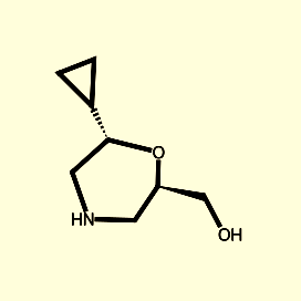 OC[C@H]1CNC[C@H](C2CC2)O1